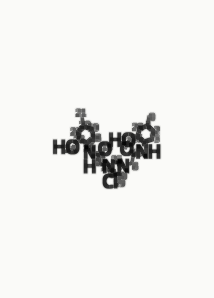 Cc1ccc(NC(=O)Cn2cc[n+](CC(=O)Nc3ccc(C)cc3O)c2)c(O)c1.[Cl-]